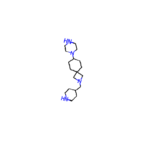 C1CC(CN2CC3(CCC(N4CCNCC4)CC3)C2)CCN1